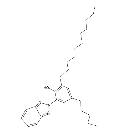 CCCCCCCCCCCc1cc(CCCCC)cc(-n2nc3ccccc3n2)c1O